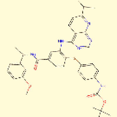 COc1cccc(C(C)NC(=O)c2ccc(Sc3ccc(NC(=O)OC(C)(C)C)cc3)c(Nc3ncnc4nc(C(C)C)ccc34)c2)c1